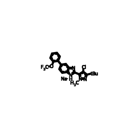 Cn1nc(C(C)(C)C)c(Cl)c1-c1nc2cc(-c3ccccc3OC(F)(F)F)ccc2[nH]1.[Na]